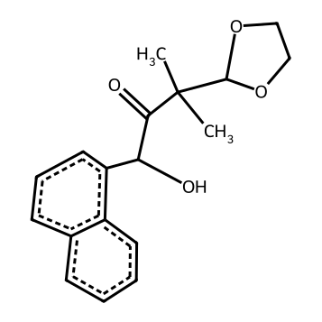 CC(C)(C(=O)C(O)c1cccc2ccccc12)C1OCCO1